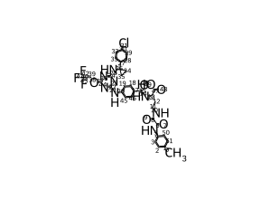 Cc1ccc(NC(=O)C(=O)NCC[C@H](NC(=O)c2ccc(Nc3nc(NC4(c5ccc(Cl)cc5)CC4)nc(OCC(F)(F)F)n3)cc2)C(=O)O)cc1